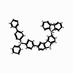 c1ccc(-c2ccc(N(c3ccccc3)c3ccc(-c4ccc5oc6ccc(-n7c8ccccc8c8ccccc87)cc6c5c4)cc3)cc2)cc1